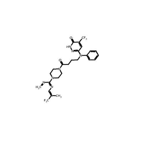 C=N/C(=N\C=C(/C)C(F)(F)F)N1CCN(C(=O)CCCN(c2ccccc2)c2cc(C(F)(F)F)c(=O)[nH]n2)CC1